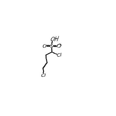 O=S(=O)(O)C(Cl)CCCCl